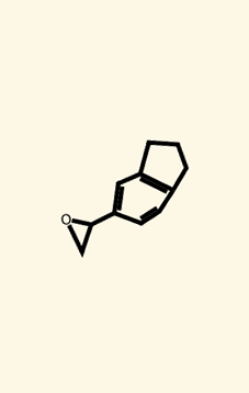 c1cc2c(cc1C1CO1)CCC2